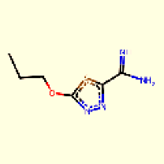 CCCOc1nnc(C(=N)N)s1